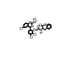 NC(=O)C(Cc1ccccc1)NC(=O)COc1c(-c2nc(N)nc3ccc(Cl)cc23)ccc(Cl)c1Cl